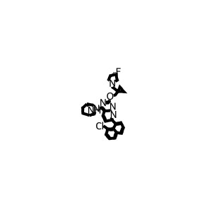 F[C@@H]1CCN(CC2(COc3nc(N4CC5CCC(C4)N5)c4ccc(-c5cccc6cccc(Cl)c56)nc4n3)CC2)C1